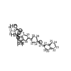 CC(C)C(NS(=O)(=O)c1ccc(-c2ccc(OCc3ccc4ccccc4c3)cc2)cc1C(F)(F)F)C(=O)O